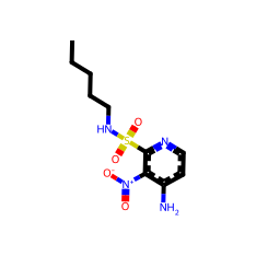 CCCCCNS(=O)(=O)c1nccc(N)c1[N+](=O)[O-]